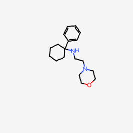 c1ccc(C2(NCCN3CCOCC3)CCCCC2)cc1